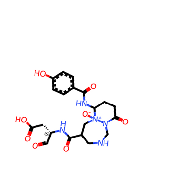 O=C[C@H](CC(=O)O)NC(=O)C1CNCN2C(=O)CCC(NC(=O)c3ccc(O)cc3)[N+]2([O-])C1